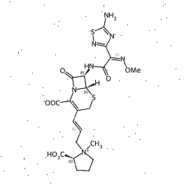 CO/N=C(\C(=O)N[C@@H]1C(=O)N2C(C(=O)[O-])=C(/C=C/C[N+]3(C)CCC[C@H]3C(=O)O)CS[C@@H]12)c1nsc(N)n1